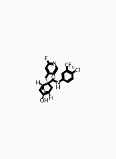 O=C(Nc1ccc(Cl)c(C(F)(F)F)c1)[C@@]1(Cc2ccnc(F)c2)C[C@H]2O[C@@H]1C[C@@H]2O